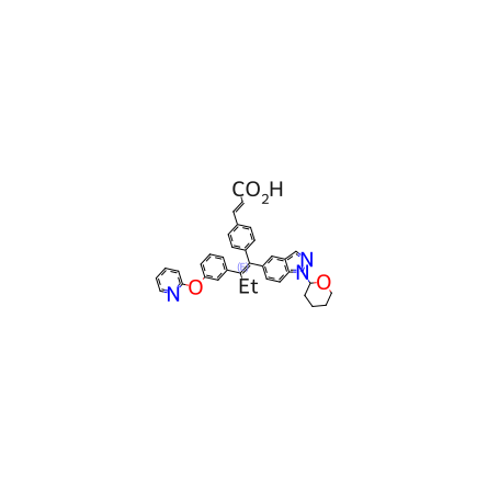 CC/C(=C(/c1ccc(C=CC(=O)O)cc1)c1ccc2c(cnn2C2CCCCO2)c1)c1cccc(Oc2ccccn2)c1